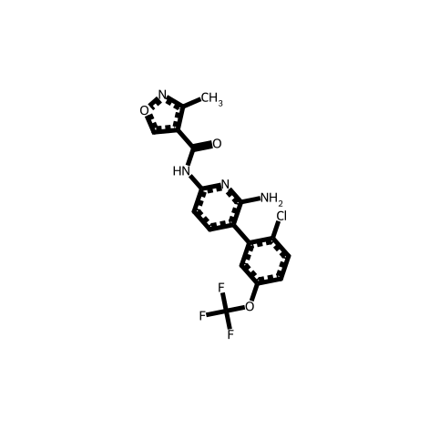 Cc1nocc1C(=O)Nc1ccc(-c2cc(OC(F)(F)F)ccc2Cl)c(N)n1